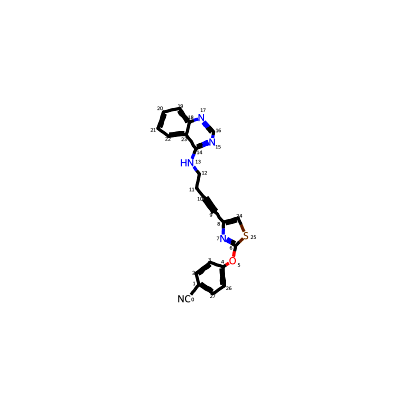 N#Cc1ccc(Oc2nc(C#CCCNc3ncnc4ccccc34)cs2)cc1